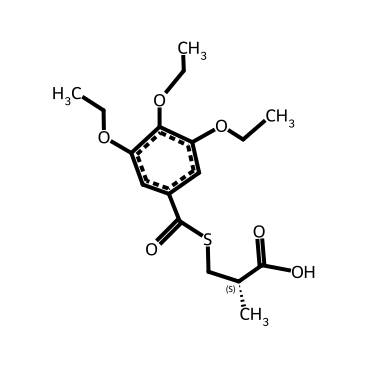 CCOc1cc(C(=O)SC[C@@H](C)C(=O)O)cc(OCC)c1OCC